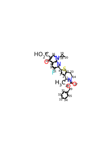 CC1c2cc(-c3nc4c(cc3F)c(=O)c(C(=O)O)cn4C3CC3)sc2CCN1C(=O)OCc1ccccc1